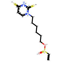 C=CS(=O)OCCCCCCn1ccc(=S)[nH]c1=S